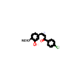 COc1ccc(/C=C\C(=O)c2ccc(Cl)cc2)cc1O